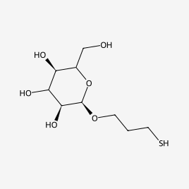 OCC1O[C@@H](OCCCS)[C@@H](O)C(O)[C@H]1O